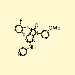 COc1cccc(-n2c(=O)n(Cc3c(F)cccc3F)c3cnc(Nc4ccncc4)nc32)c1